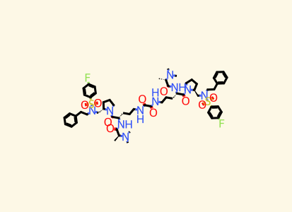 C[C@@H](C(=O)N[C@@H](CCCNC(=O)C(=O)NCCC[C@H](NC(=O)[C@H](C)N(C)C)C(=O)N1CCC[C@H]1CN(CCc1ccccc1)S(=O)(=O)c1ccc(F)cc1)C(=O)N1CCC[C@H]1CN(CCc1ccccc1)S(=O)(=O)c1ccc(F)cc1)N(C)C